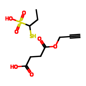 C#CCOC(=O)CCC(=O)O.CCC(S)S(=O)(=O)O